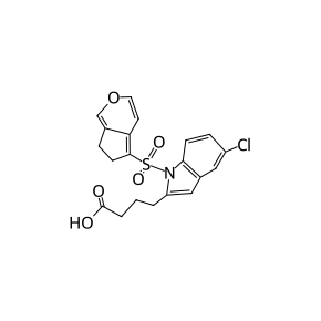 O=C(O)CCCc1cc2cc(Cl)ccc2n1S(=O)(=O)C1=C2C=COC=C2CC1